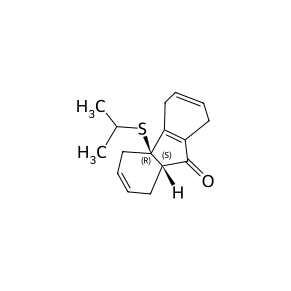 CC(C)S[C@]12CC=CC[C@H]1C(=O)C1=C2CC=CC1